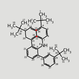 CC(C)(C)c1ccc(Nc2c(C3=CC=CC(C(C)(C)C)C3)cccc2-c2cccc(C(C)(C)C)c2)cc1